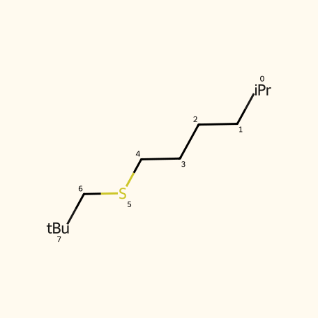 CC(C)CCCCSCC(C)(C)C